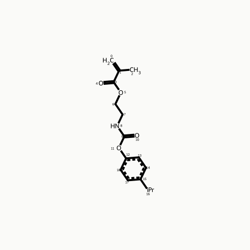 C=C(C)C(=O)OCCNC(=O)Oc1ccc(C(C)C)cc1